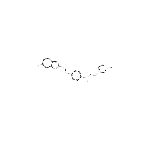 CCN(CCn1cc[n+](C)c1)c1ccc(/N=N/c2nc3ccc([N+](=O)[O-])cc3s2)cc1.[Br-]